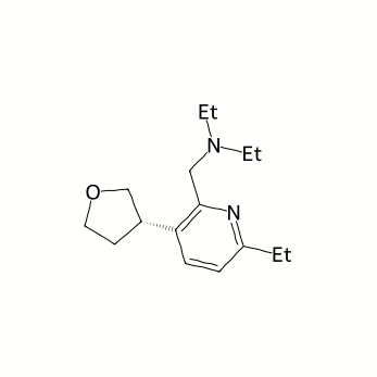 CCc1ccc([C@@H]2CCOC2)c(CN(CC)CC)n1